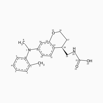 Cc1ccccc1N(C)c1ccc2c(c1)OCC[C@H]2CNC(=O)O